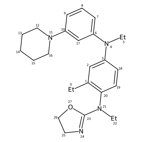 CCc1cc(N(CC)c2cccc(N3CCCCC3)c2)ccc1N(CC)C1=NCCO1